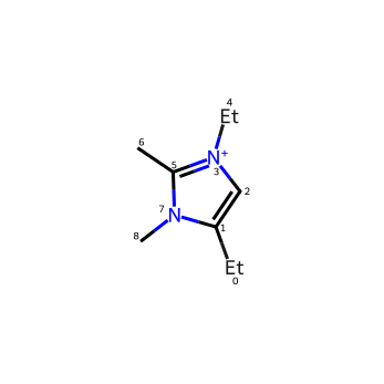 CCc1c[n+](CC)c(C)n1C